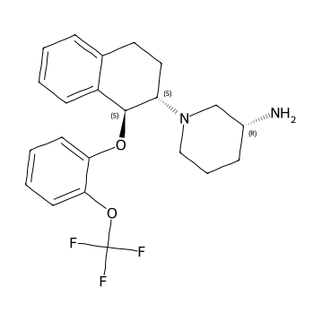 N[C@@H]1CCCN([C@H]2CCc3ccccc3[C@@H]2Oc2ccccc2OC(F)(F)F)C1